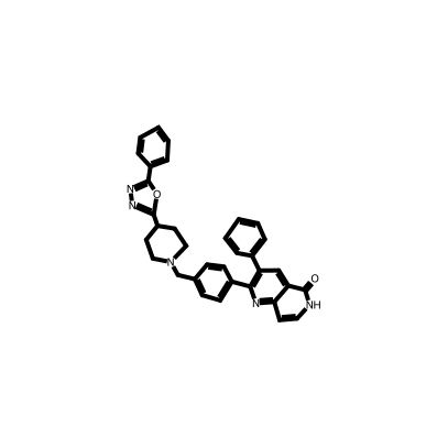 O=c1[nH]ccc2nc(-c3ccc(CN4CCC(c5nnc(-c6ccccc6)o5)CC4)cc3)c(-c3ccccc3)cc12